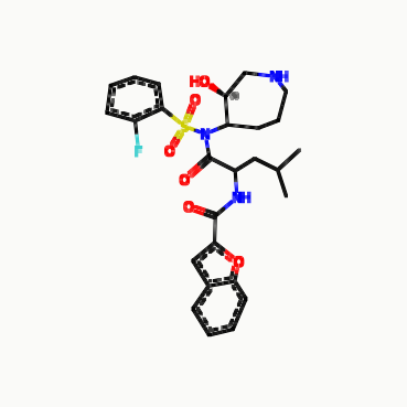 CC(C)CC(NC(=O)c1cc2ccccc2o1)C(=O)N(C1CCCNC[C@@H]1O)S(=O)(=O)c1ccccc1F